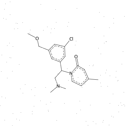 COCc1cc(Cl)cc(C(CN(C)C)n2ccc(C)cc2=O)c1